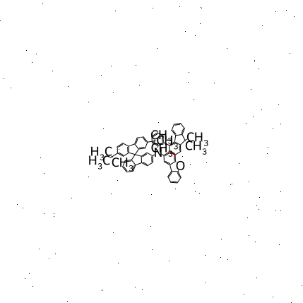 CC(C)(C)c1ccc2c(c1)C1(c3ccccc3-c3ccc(N(c4ccc5oc6ccccc6c5c4)c4ccccc4-c4cccc5c4-c4ccccc4C5(C)C)cc31)c1cc(C(C)(C)C)ccc1-2